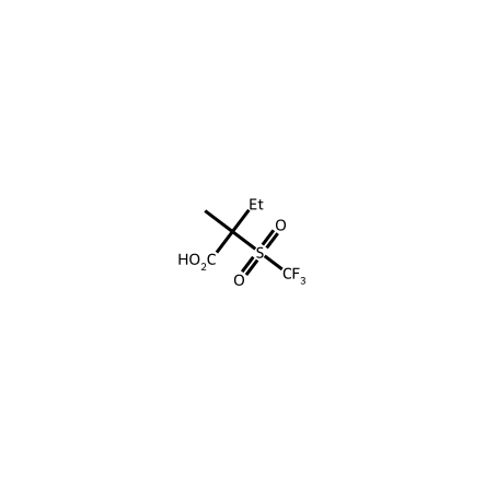 CCC(C)(C(=O)O)S(=O)(=O)C(F)(F)F